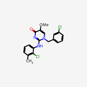 COc1cn(Cc2cccc(Cl)c2)c(Nc2cccc(C)c2Cl)nc1=O